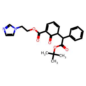 CC(C)(C)OC(=O)C(c1ccccc1)C1C=CC=C(C(=O)OCCn2ccnc2)C1=O